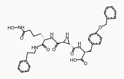 O=C(CCC[C@H](NC(=O)[C@H]1N[C@@H]1C(=O)N[C@@H](Cc1ccc(OCc2ccccc2)cc1)C(=O)O)C(=O)NCCc1ccccc1)NO